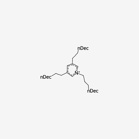 CCCCCCCCCCCCC[n+]1cc(CCCCCCCCCCCC)cc(CCCCCCCCCCCC)c1